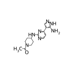 CC(=O)N1CCC(Nc2nccc(-c3cn[nH]c3N)n2)CC1